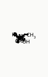 CCCCC#Cc1nc2c(NCc3cccc(I)c3)nc(-c3ccco3)nc2n1[C@@H]1SC[C@@H](O)[C@H]1O